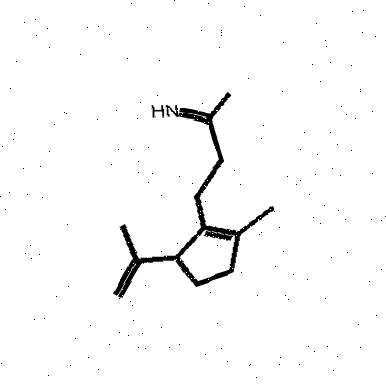 C=C(C)C1CCC(C)=C1CCC(C)=N